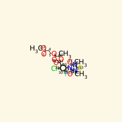 COC(=O)CCOC(=O)C(C)OC(=O)c1cc(-n2c(=O)n(C)c(=S)n(C)c2=O)c(F)cc1Cl